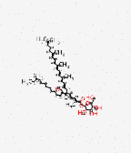 CCC(C)CCCCCCC/C=C\C(C=O)C(C)(/C=C/C=C(\C)C(=O)O[C@H]1O[C@H](CO)[C@@H](O)[C@H](O)[C@H]1O)C/C=C/C=C(C)/C=C/C=C(C)/C=C/C=C(\C)CCC=C(C)C